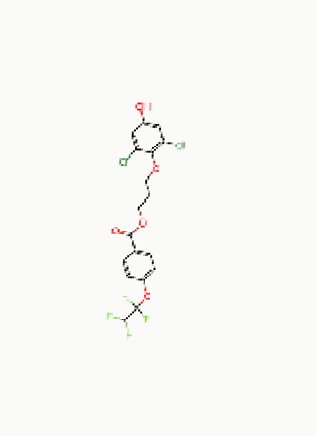 O=C(OCCCOc1c(Cl)cc(O)cc1Cl)c1ccc(OC(F)(F)C(F)F)cc1